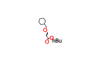 CCCCOC(=O)C=COCC1CCCCC1